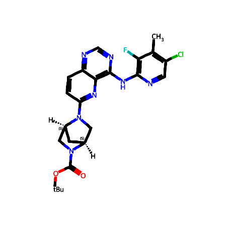 Cc1c(Cl)cnc(Nc2ncnc3ccc(N4C[C@@H]5C[C@H]4CN5C(=O)OC(C)(C)C)nc23)c1F